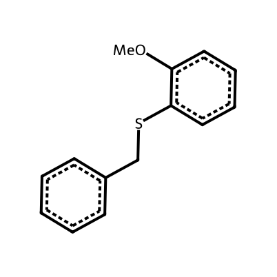 COc1ccccc1SCc1ccccc1